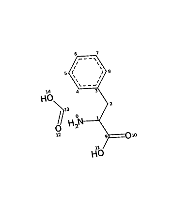 NC(Cc1ccccc1)C(=O)O.O=CO